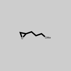 COCCCC1CO1